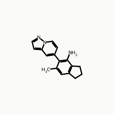 Cc1cc2c(c(N)c1-c1ccn3nccc3c1)CCC2